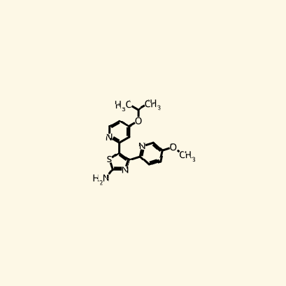 COc1ccc(-c2nc(N)sc2-c2cc(OC(C)C)ccn2)nc1